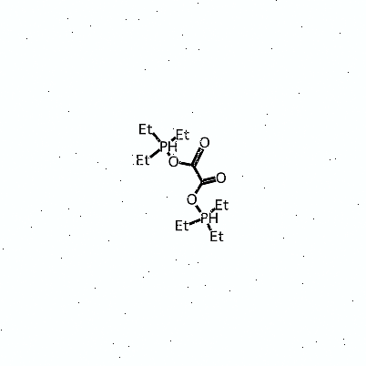 CC[PH](CC)(CC)OC(=O)C(=O)O[PH](CC)(CC)CC